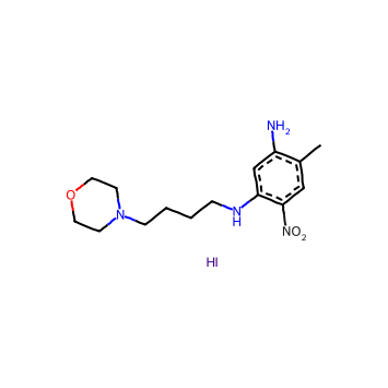 Cc1cc([N+](=O)[O-])c(NCCCCN2CCOCC2)cc1N.I